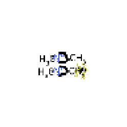 Cc1cc[n+](C)cc1.Cc1cc[n+](C)cc1.[S]=[W](=[S])([S-])[S-]